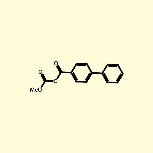 COC(=O)OC(=O)c1ccc(-c2ccccc2)cc1